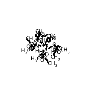 CCCCOc1c(C(=O)NCCN(CCNC(=O)c2ccn(C)c(=O)c2OCCCC)CC(Cc2ccc([N+](=O)[O-])cc2)CN(CCNC(=O)c2ccn(C)c(=O)c2OCCCC)CCNC(=O)c2ccn(C)c(=O)c2OCCCC)ccn(C)c1=O